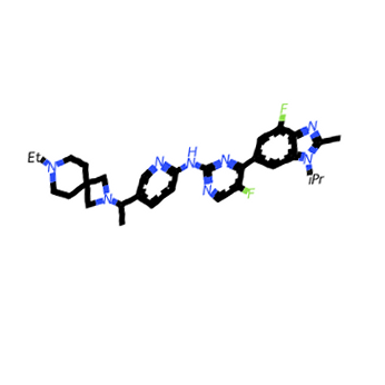 CCN1CCC2(CC1)CN(C(C)c1ccc(Nc3ncc(F)c(-c4cc(F)c5nc(C)n(C(C)C)c5c4)n3)nc1)C2